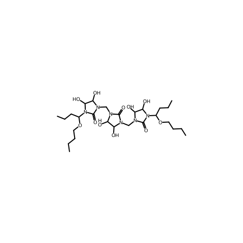 CCCCOC(CCC)N1C(=O)N(CN2C(=O)N(CN3C(=O)N(C(CCC)OCCCC)C(O)C3O)C(O)C2O)C(O)C1O